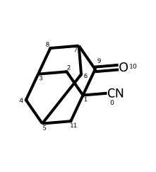 N#CC12CC3CC(CC(C3)C1=O)C2